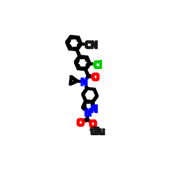 CC(C)(C)OC(=O)n1cc2c(n1)CCC(N(C(=O)c1ccc(-c3ccccc3C#N)cc1Cl)C1CC1)C2